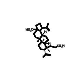 C=C(C)C1CCC2(C(=O)O)CC[C@]3(C)[C@H](CC[C@@H]4[C@@](C)(CCC(=O)O)[C@H](C(=C)C)CC[C@]43C)C12